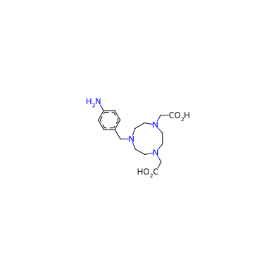 Nc1ccc(CN2CCN(CC(=O)O)CCN(CC(=O)O)CC2)cc1